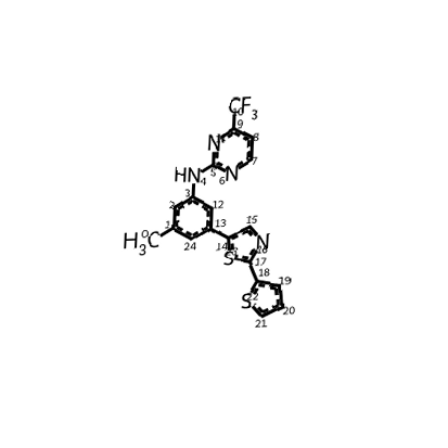 Cc1cc(Nc2nccc(C(F)(F)F)n2)cc(-c2cnc(-c3cccs3)s2)c1